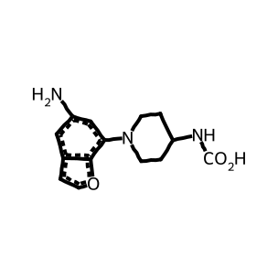 Nc1cc(N2CCC(NC(=O)O)CC2)c2occc2c1